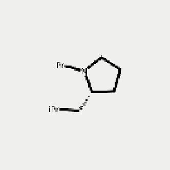 CC(C)C[C@H]1CCCN1C(C)C